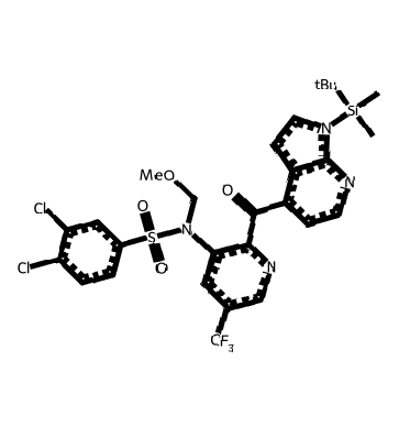 COCN(c1cc(C(F)(F)F)cnc1C(=O)c1ccnc2c1ccn2[Si](C)(C)C(C)(C)C)S(=O)(=O)c1ccc(Cl)c(Cl)c1